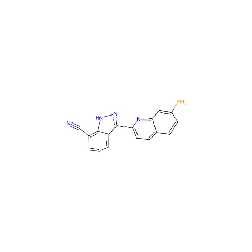 N#Cc1cccc2c(-c3ccc4ccc(P)cc4n3)n[nH]c12